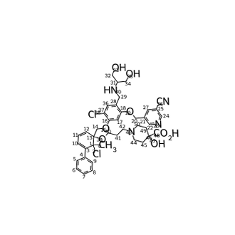 CC1(Cl)C(c2ccccc2)=CC=CC1(COc1cc(OCc2cncc(C#N)c2)c(CNC(CO)CO)cc1Cl)OCCCN1CCC(O)(C(=O)O)CC1